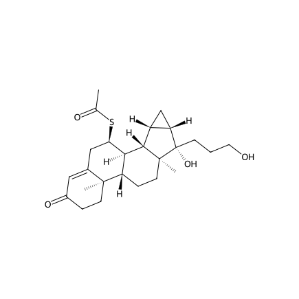 CC(=O)S[C@@H]1CC2=CC(=O)CC[C@]2(C)[C@H]2CC[C@@]3(C)[C@@H]([C@@H]4C[C@@H]4[C@@]3(O)CCCO)[C@H]12